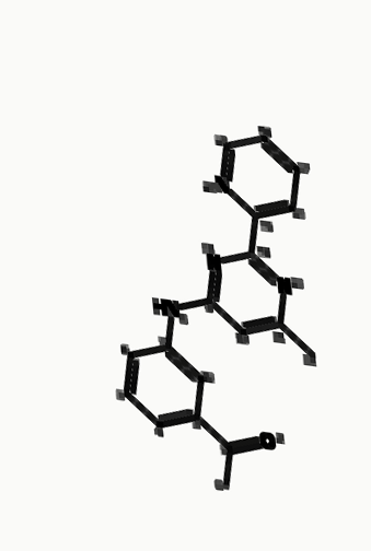 CC(=O)c1cccc(Nc2cc(C)nc(-c3ccccn3)n2)c1